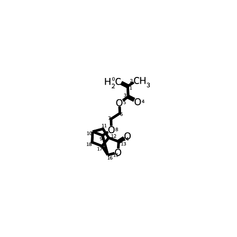 C=C(C)C(=O)OCCOC1C2CC3C(=O)OC1C3C2